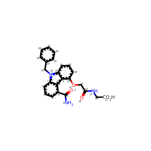 NC(=O)c1cccc2c1c1c(OCC(=O)NCC(=O)O)cccc1n2Cc1ccccc1